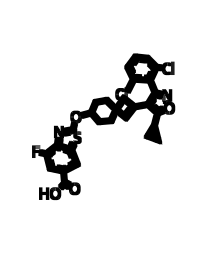 O=C(O)c1cc(F)c2nc(OC3CCC4(C=C(c5c(-c6c(Cl)cccc6Cl)noc5C5CC5)C4)CC3)sc2c1